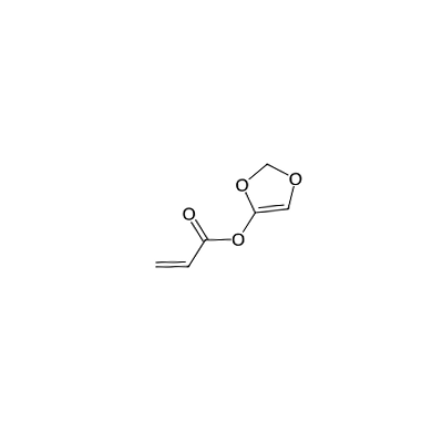 C=CC(=O)OC1=COCO1